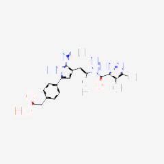 C=Nc1[nH]c(-c2ccc(CC(=O)O)cc2)cc1/C=C(\C)NC(=O)c1[nH]nc(C)c1C